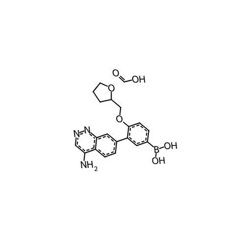 Nc1cnnc2cc(-c3cc(B(O)O)ccc3OCC3CCCO3)ccc12.O=CO